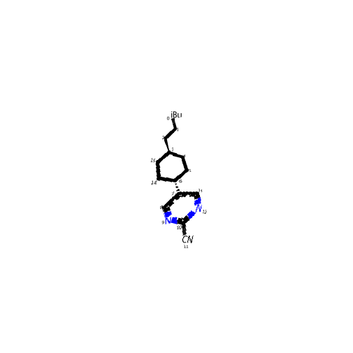 CCC(C)CC[C@H]1CC[C@H](c2cnc(C#N)nc2)CC1